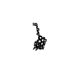 CC(Nc1c(-c2c(F)cc(OCCOCCO)cc2F)c(Cl)nc2ncnn12)C(F)(F)F